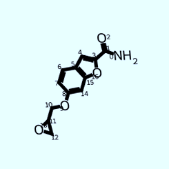 NC(=O)c1cc2ccc(OCC3CO3)cc2o1